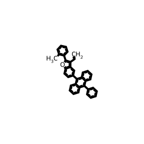 C=Cc1c(-c2ccccc2C)oc2ccc(-c3c4ccccc4c(-c4ccccc4)c4ccccc34)cc12